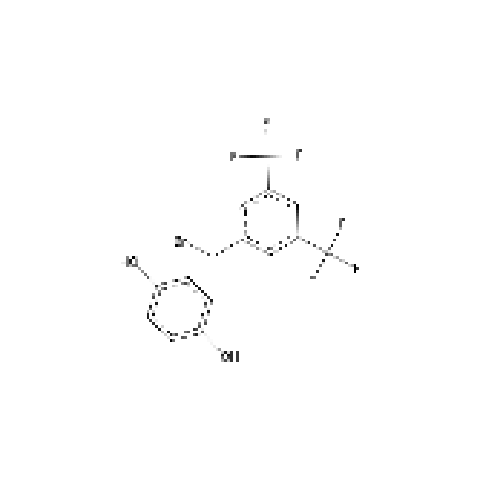 FC(F)(F)c1cc(CBr)cc(C(F)(F)F)c1.Oc1ccc(O)cc1